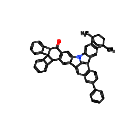 CC12CCC(C)(CC1)c1cc3c(cc12)c1c2ccc(-c4ccccc4)cc2cc2c4cc5c(cc4n3c21)C(=O)C1c2ccccc2C12c1ccccc1C52